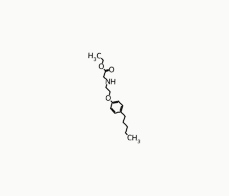 CCCCCc1ccc(OCCNCC(=O)OCC)cc1